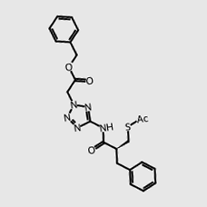 CC(=O)SC[C@@H](Cc1ccccc1)C(=O)Nc1nnn(CC(=O)OCc2ccccc2)n1